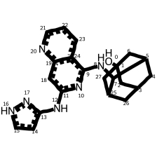 OC12CC3CC(C1)C(Nc1nc(Nc4cc[nH]n4)cc4ncccc14)C(C3)C2